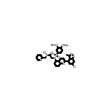 CCN(Cc1ccccn1)C(=O)CN(c1cccc2nc(-c3cc(Cl)cc4snc(C)c34)ccc12)S(=O)(=O)c1ccc(OC)c(OC)c1